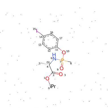 CC(C)OC(=O)[C@H](C)NP(C)(=O)Oc1ccc(I)cc1